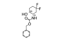 O=C(N[C@H]1CC(F)(F)CC[C@H]1O)OCc1ccccc1